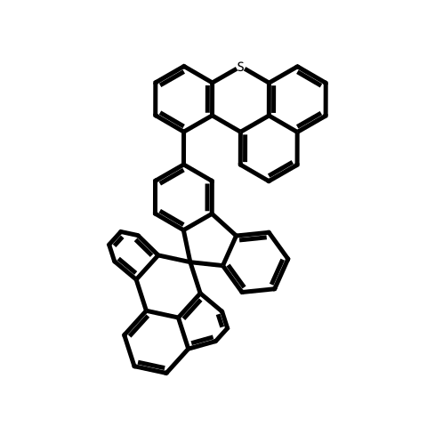 c1ccc2c(c1)-c1cc(-c3cccc4c3-c3cccc5cccc(c35)S4)ccc1C21c2ccccc2-c2cccc3cccc1c23